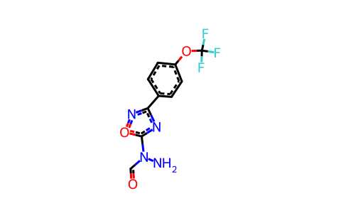 NN(C=O)c1nc(-c2ccc(OC(F)(F)F)cc2)no1